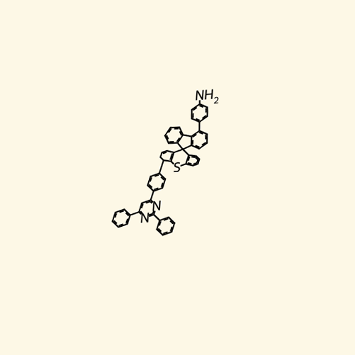 Nc1ccc(-c2cccc3c2-c2ccccc2C32C3=C(Sc4ccccc42)C(c2ccc(-c4cc(-c5ccccc5)nc(-c5ccccc5)n4)cc2)CC=C3)cc1